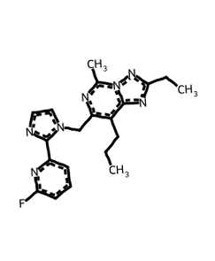 CCCc1c(Cn2ccnc2-c2cccc(F)n2)nc(C)n2nc(CC)nc12